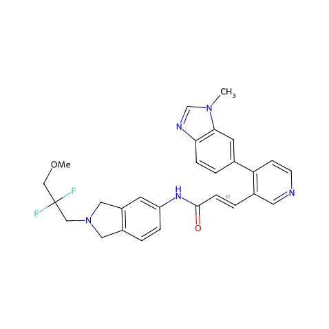 COCC(F)(F)CN1Cc2ccc(NC(=O)/C=C/c3cnccc3-c3ccc4ncn(C)c4c3)cc2C1